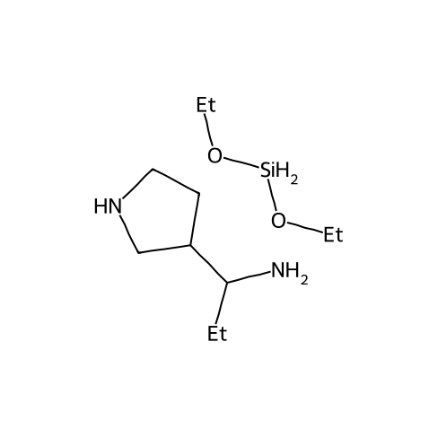 CCC(N)C1CCNC1.CCO[SiH2]OCC